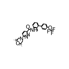 Cc1c(NC(=O)c2ccc(N3C[C@@H](C)O[C@@H](C)C3)nn2)cccc1-c1ccc(OC(F)(F)F)cc1